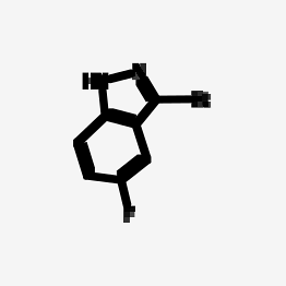 CCc1n[nH]c2ccc(F)cc12